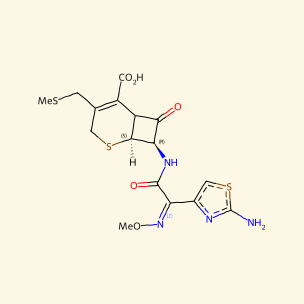 CO/N=C(\C(=O)N[C@@H]1C(=O)C2C(C(=O)O)=C(CSC)CS[C@@H]21)c1csc(N)n1